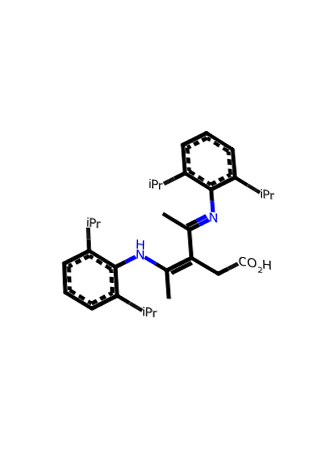 C/C(Nc1c(C(C)C)cccc1C(C)C)=C(CC(=O)O)/C(C)=N/c1c(C(C)C)cccc1C(C)C